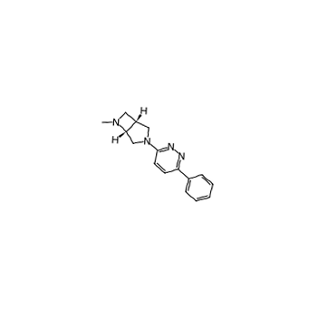 CN1C[C@@H]2CN(c3ccc(-c4ccccc4)nn3)C[C@@H]21